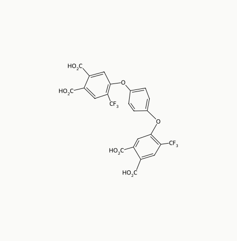 O=C(O)c1cc(Oc2ccc(Oc3cc(C(=O)O)c(C(=O)O)cc3C(F)(F)F)cc2)c(C(F)(F)F)cc1C(=O)O